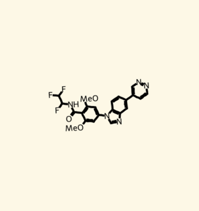 COc1cc(-n2cnc3cc(-c4ccnnc4)ccc32)cc(OC)c1C(=O)NC(F)C(F)F